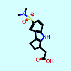 CN(C)S(=O)(=O)c1ccc2[nH]c3c(c2c1)CCC3CC(=O)O